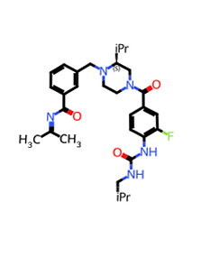 CC(C)=NC(=O)c1cccc(CN2CCN(C(=O)c3ccc(NC(=O)NCC(C)C)c(F)c3)C[C@@H]2C(C)C)c1